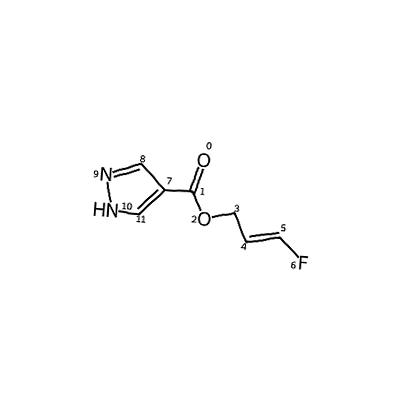 O=C(OCC=CF)c1cn[nH]c1